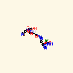 Cc1ncsc1-c1ccc(CNC(=O)[C@@H]2C[C@@H](O)CN2C(=O)[C@@H](NC(=O)CCCCCC(=O)NCCN2CCN(Cc3cccc(-c4ccc(N5CCN(C)CC5)c(NC(=O)c5c[nH]c(=O)cc5C(F)(F)F)c4)c3)CC2)C(C)(C)C)cc1